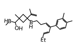 C=C(C)C1(BCC/C=C(\C=C\CC)c2ccc(C)c(C)c2)CC(C)(C(O)BC)C1